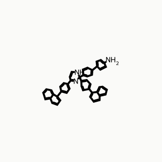 Nc1ccc(-c2ccc(C3(c4ccc(-c5cccc6ccccc56)cc4)N=C(c4ccc(-c5cccc6ccccc56)cc4)C=CN3)cc2)cc1